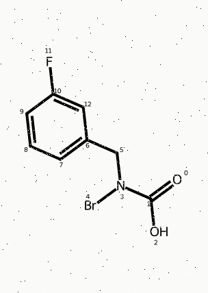 O=C(O)N(Br)Cc1cccc(F)c1